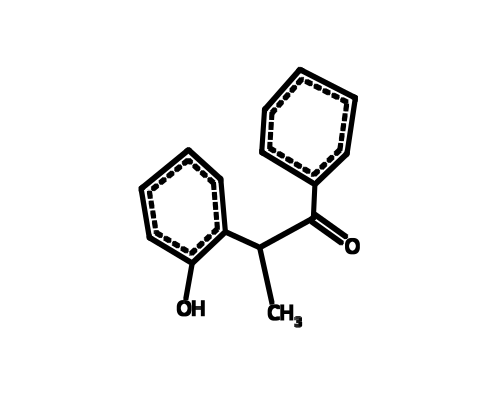 CC(C(=O)c1ccccc1)c1ccccc1O